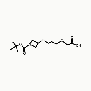 CC(C)(C)OC(=O)N1CC(OCCCOCC(=O)O)C1